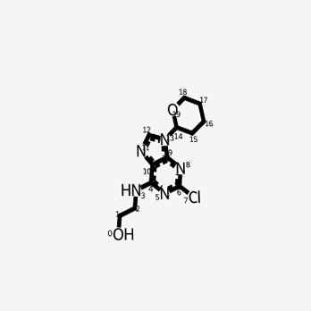 OCCNc1nc(Cl)nc2c1ncn2C1CCCCO1